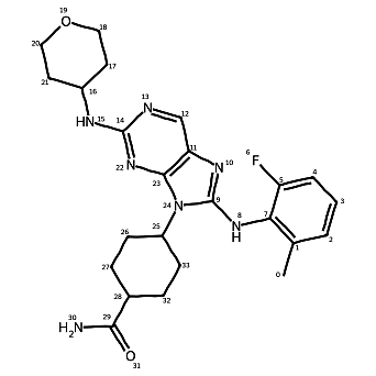 Cc1cccc(F)c1Nc1nc2cnc(NC3CCOCC3)nc2n1C1CCC(C(N)=O)CC1